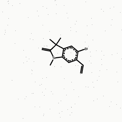 C=Cc1cc2c(cc1Br)C(C)(C)C(=C)N2C